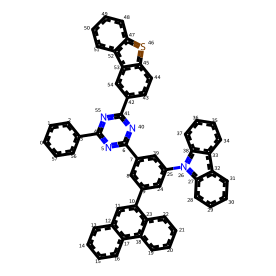 c1ccc(-c2nc(-c3cc(-c4cc5ccccc5c5ccccc45)cc(-n4c5ccccc5c5ccccc54)c3)nc(-c3ccc4sc5ccccc5c4c3)n2)cc1